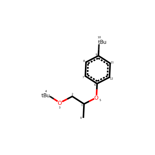 CC(COC(C)(C)C)Oc1ccc(C(C)(C)C)cc1